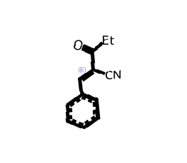 CCC(=O)/C(C#N)=C/c1ccccc1